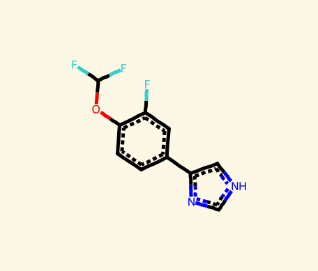 Fc1cc(-c2c[nH]cn2)ccc1OC(F)F